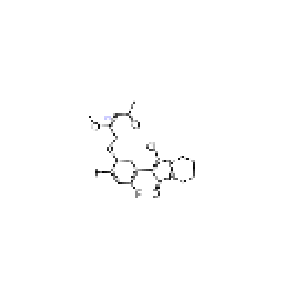 CO/C(=C/C(C)=O)COc1cc(-c2c(Cl)n3n(c2=O)CCCC3)c(F)cc1F